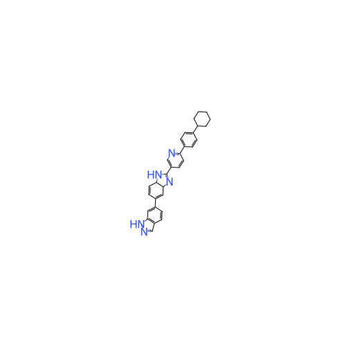 C1=CC2NC(c3ccc(-c4ccc(C5CCCCC5)cc4)nc3)=NC2C=C1c1ccc2cn[nH]c2c1